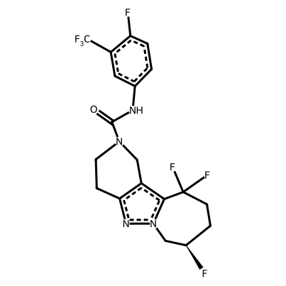 O=C(Nc1ccc(F)c(C(F)(F)F)c1)N1CCc2nn3c(c2C1)C(F)(F)CC[C@@H](F)C3